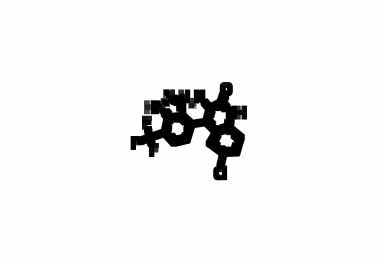 Nc1c(-c2ccc(C(F)(F)F)c3[nH]ncc23)c2cc(Cl)ccc2[nH]c1=O